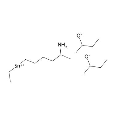 CCC(C)[O-].CCC(C)[O-].C[CH2][Sn+2][CH2]CCCC(C)N